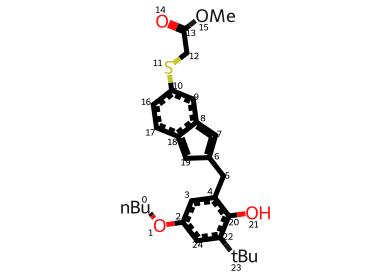 CCCCOc1cc(CC2=C=c3cc(SCC(=O)OC)ccc3=C2)c(O)c(C(C)(C)C)c1